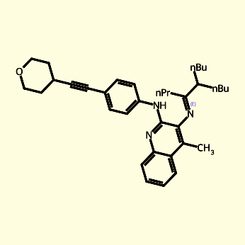 CCCCC(CCCC)/C(CCC)=N/c1c(Nc2ccc(C#CC3CCOCC3)cc2)nc2ccccc2c1C